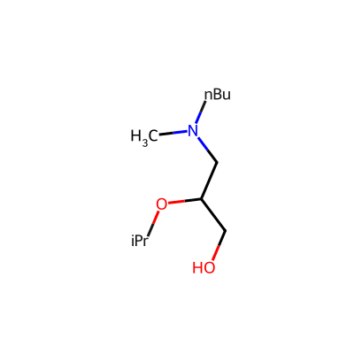 CCCCN(C)CC(CO)OC(C)C